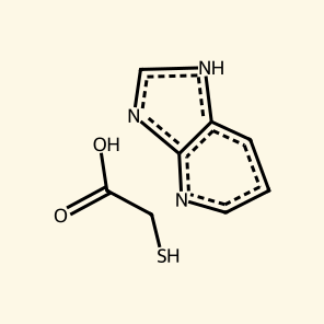 O=C(O)CS.c1cnc2nc[nH]c2c1